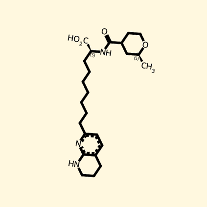 C[C@H]1CC(C(=O)N[C@@H](CCCCCCCc2ccc3c(n2)NCCC3)C(=O)O)CCO1